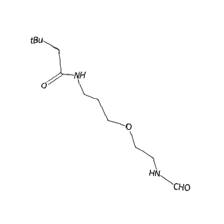 CC(C)(C)CC(=O)NCCCOCCNC=O